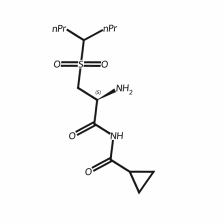 CCCC(CCC)S(=O)(=O)C[C@@H](N)C(=O)NC(=O)C1CC1